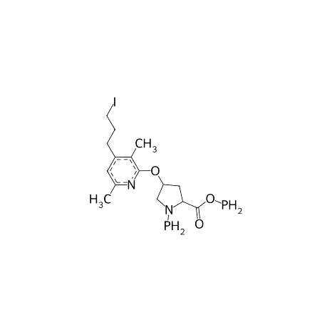 Cc1cc(CCCI)c(C)c(OC2CC(C(=O)OP)N(P)C2)n1